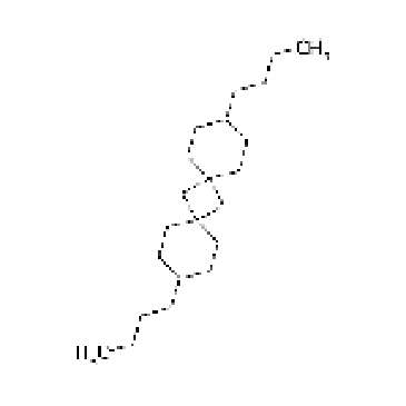 CCCCC1CCC2(CC1)CC1(CCC(CCCC)CC1)C2